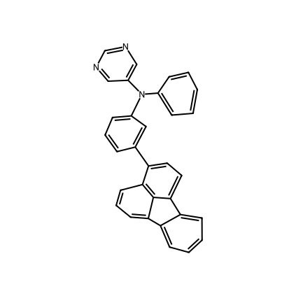 c1ccc(N(c2cncnc2)c2cccc(-c3ccc4c5c(cccc35)-c3ccccc3-4)c2)cc1